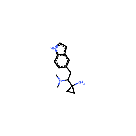 CN(C)C(Cc1ccc2[nH]ccc2c1)C1(N)CC1